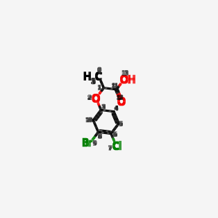 CC(Oc1ccc(Cl)c(Br)c1)C(=O)O